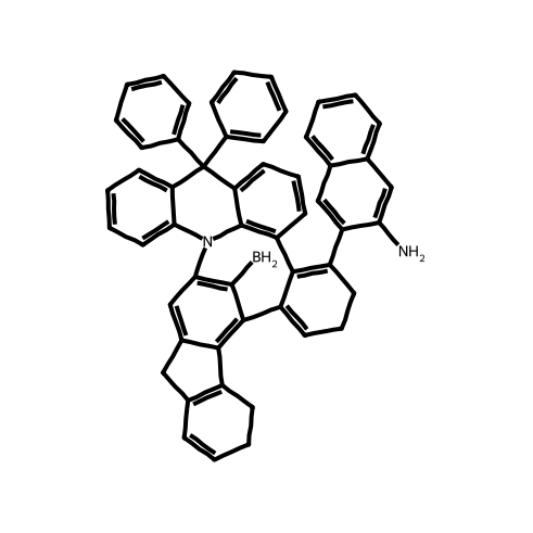 Bc1c2cc3c(c1C1=CCCC(c4cc5ccccc5cc4N)=C1c1cccc4c1N2c1ccccc1C4(c1ccccc1)c1ccccc1)C1=C(C=CCC1)C3